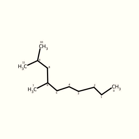 CCCCC[CH]C(C)CC(C)C